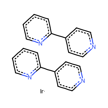 [Ir].c1ccc(-c2ccncc2)nc1.c1ccc(-c2ccncc2)nc1